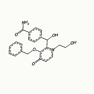 NC(=O)c1ccc(C(O)c2c(OCc3ccccc3)c(=O)ccn2CCO)cc1